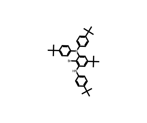 CC(C)(C)c1ccc(Nc2cc(C(C)(C)C)cc(N(c3ccc(C(C)(C)C)cc3)c3ccc(C(C)(C)C)cc3)c2Br)cc1